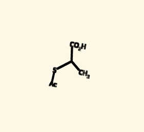 CC(=O)SC(C)C(=O)O